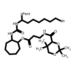 CCCCCC(CCCCCCC(C)C)NC(=O)NC1CCCCCC1OC(=O)CCNC(=O)C1OC(C)(C)OCC1(C)C